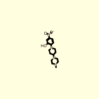 CN1CCN(C2CCN(c3ccc([N+](=O)[O-])cc3O)CC2)CC1